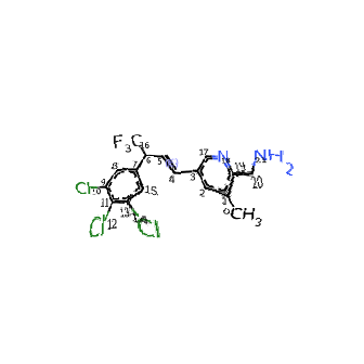 Cc1cc(/C=C/C(c2cc(Cl)c(Cl)c(Cl)c2)C(F)(F)F)cnc1CN